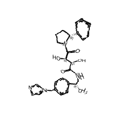 C[C@@H](NC(=O)[C@H](O)[C@@H](O)C(=O)N1CCC[C@@H]1c1ccccc1)c1ccc(-n2ccnc2)cc1